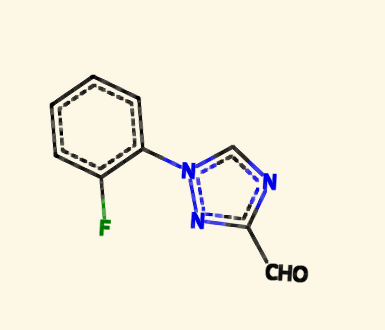 O=Cc1ncn(-c2ccccc2F)n1